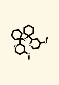 COC1CCOC(C2(OC3(C4CC(OC)CCO4)CCCCC3)CCCCC2)C1